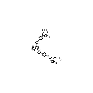 CCCCC(CC)COc1ccc(-c2ccc(-c3sc(-c4ccc(-c5ccc(N(C)CCC)cc5)s4)c4c3N=S=N4)s2)cc1